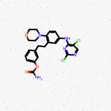 NC(=O)Oc1cccc(CCc2cc(Nc3nc(Cl)ncc3Cl)ccc2N2CCOCC2)c1